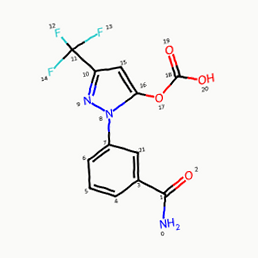 NC(=O)c1cccc(-n2nc(C(F)(F)F)cc2OC(=O)O)c1